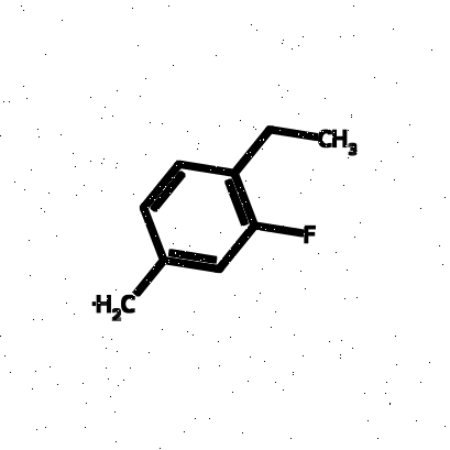 [CH2]c1ccc(CC)c(F)c1